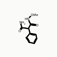 CONC(=O)C(C(N)=O)c1ccccc1